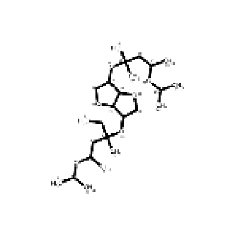 CCC(C)(CC(C)OC(C)C)OC1COC2C(OC(C)(C)CC(C)OC(C)C)COC12